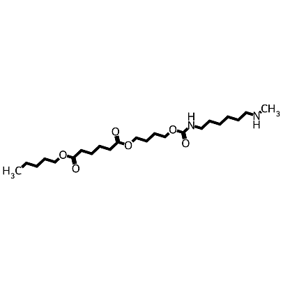 CCCCCOC(=O)CCCCC(=O)OCCCCOC(=O)NCCCCCCNC